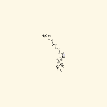 COCCCCCCC/C=C\[C@@H]1C[C@@H]1C(=O)OC